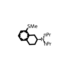 CCCN(CCC)[C@H]1CCc2cccc(SC)c2C1